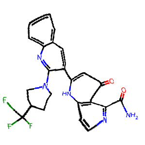 NC(=O)c1nccc2[nH]c(-c3cc4ccccc4nc3N3CCC(C(F)(F)F)C3)cc(=O)c12